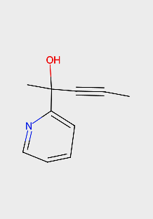 CC#CC(C)(O)c1ccccn1